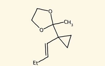 CCC=CC1(C2(C)OCCO2)CC1